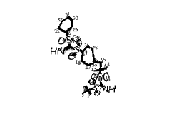 CC(C)(C)S(=O)(=O)C(=N)S(=O)(=O)C(C)(C)CC1CCC(S(=O)(=O)C(=N)S(=O)(=O)C2CCCCC2)CC1